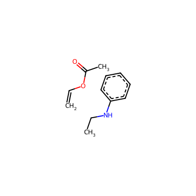 C=COC(C)=O.CCNc1ccccc1